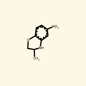 CC1COc2ccc([N+](=O)[O-])cc2N1